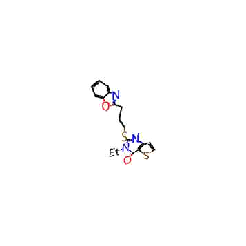 CCn1c(SCCCc2nc3ccccc3o2)nc2ccsc2c1=O